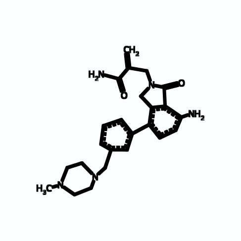 C=C(CN1Cc2c(-c3cccc(CN4CCN(C)CC4)c3)ccc(N)c2C1=O)C(N)=O